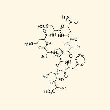 CCC(C)C(N)C(=O)NC(CCSC)C(=O)NC(CC(=O)O)C(=O)NC(CCC(N)=O)C(=O)NC(C(=O)N1CCCC1C(=O)NC(Cc1ccccc1)C(=O)NC(CO)C(=O)NC(C(=O)O)C(C)C)C(C)C